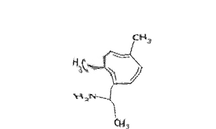 Cc1ccc(C(C)N)c(C)c1